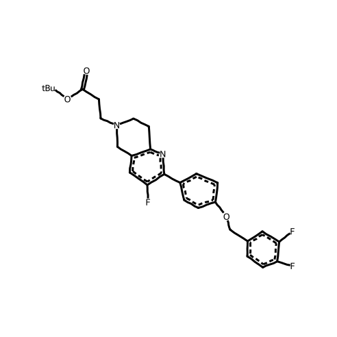 CC(C)(C)OC(=O)CCN1CCc2nc(-c3ccc(OCc4ccc(F)c(F)c4)cc3)c(F)cc2C1